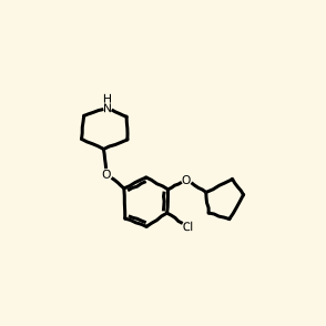 Clc1ccc(OC2CCNCC2)cc1OC1CCCC1